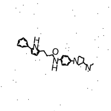 CN(C)C1CCN(c2ccc(NC(=O)CCc3ccc(-c4ccccc4)[nH]3)cc2)C1